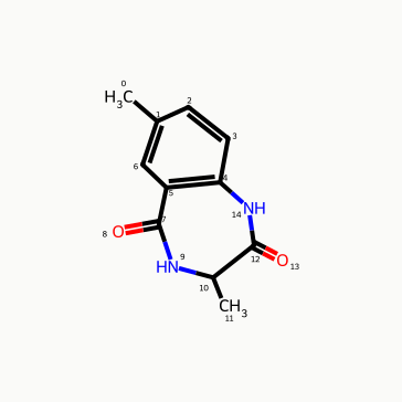 Cc1ccc2c(c1)C(=O)NC(C)C(=O)N2